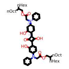 CCCCCCCCC(CCCCCC)COC(=O)CN(c1ccccc1)c1ccc(C2=C(O)/C(=C3C=C/C(=[N+](/CC(=O)OCC(CCCCCC)CCCCCCCC)c4ccccc4)C=C\3O)C2=O)c(O)c1